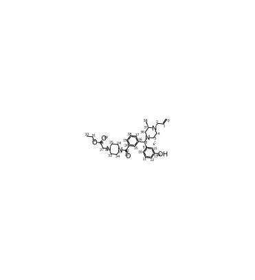 C=CCN1C[C@H](C)N([C@@H](c2cccc(O)c2)c2cccc(C(=O)N3CCN(CC(=O)OCC)CC3)c2)C[C@H]1C